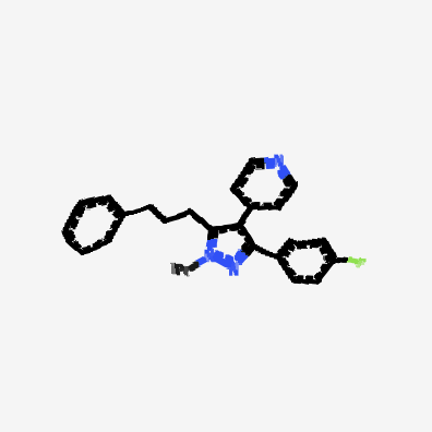 CC(C)n1nc(-c2ccc(F)cc2)c(-c2ccncc2)c1CCCc1ccccc1